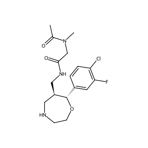 CC(=O)N(C)CC(=O)NC[C@@H]1CNCCO[C@H]1c1ccc(Cl)c(F)c1